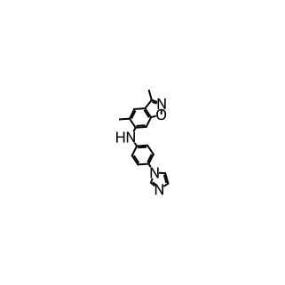 Cc1cc2c(C)noc2cc1Nc1ccc(-n2ccnc2)cc1